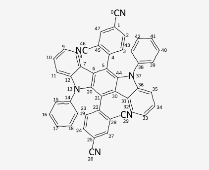 N#Cc1ccc(-c2c3c4ccccc4n(-c4ccccc4)c3c(-c3ccc(C#N)cc3C#N)c3c4ccccc4n(-c4ccccc4)c23)c(C#N)c1